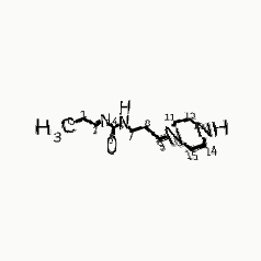 CCC=NC(=O)NCCCN1CCNCC1